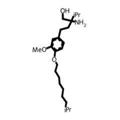 COc1cc(CCC(N)(CO)C(C)C)ccc1OCCCCCCCC(C)C